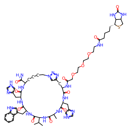 CC1NC(=O)C(Cc2c[nH]cn2)NC(=O)C(NC(=O)COCCOCCOCCNC(=O)CCCC[C@H]2SCC3NC(=O)NC32)Cc2cn(nn2)CCCCC(C(N)=O)NC(=O)C(Cc2c[nH]cn2)NC(=O)C(Cc2c[nH]c3ccccc23)NC(=O)C(C(C)C)NC1=O